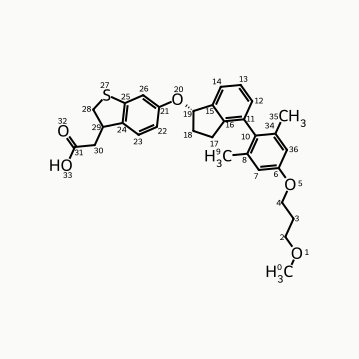 COCCCOc1cc(C)c(-c2cccc3c2CC[C@@H]3Oc2ccc3c(c2)SCC3CC(=O)O)c(C)c1